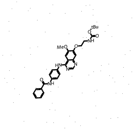 COc1cc2c(Nc3ccc(NC(=O)c4ccccc4)cc3)ncnc2cc1OCCNC(=O)OC(C)(C)C